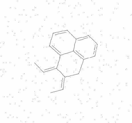 CC=C1Cc2cccc3cccc(c23)C1=CC